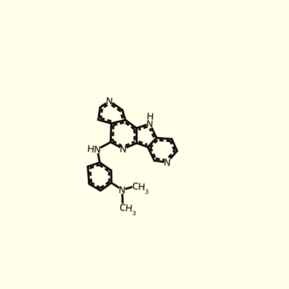 CN(C)c1cccc(Nc2nc3c4cnccc4[nH]c3c3cnccc23)c1